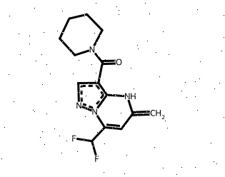 C=C1C=C(C(F)F)n2ncc(C(=O)N3CCCCC3)c2N1